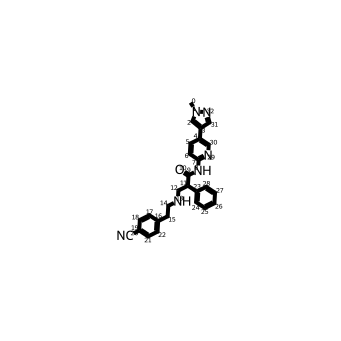 Cn1cc(-c2ccc(NC(=O)C(CNCCc3ccc(C#N)cc3)c3ccccc3)nc2)cn1